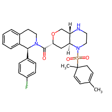 CC1=CCC(C)(S(=O)(=O)N2CCN[C@H]3CO[C@@H](C(=O)N4CCc5ccccc5[C@@H]4c4ccc(F)cc4)C[C@@H]32)C=C1